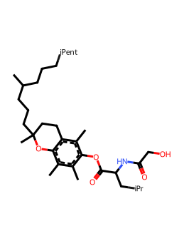 CCCC(C)CCCC(C)CCCC1(C)CCc2c(C)c(OC(=O)C(CC(C)C)NC(=O)CO)c(C)c(C)c2O1